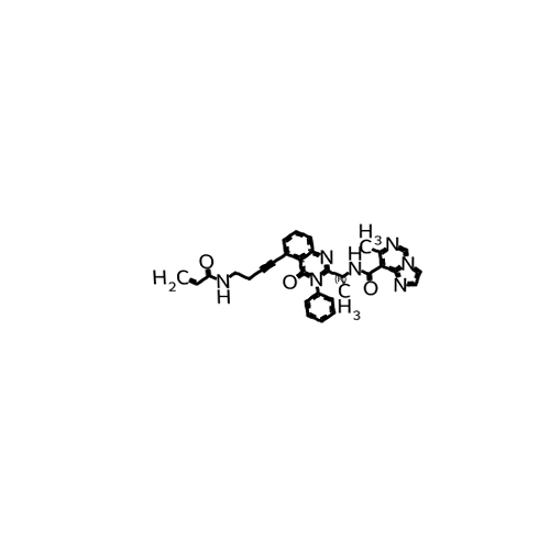 C=CC(=O)NCCC#Cc1cccc2nc([C@@H](C)NC(=O)c3c(C)ncn4ccnc34)n(-c3ccccc3)c(=O)c12